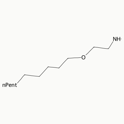 CCCCCCCCCCOCC[NH]